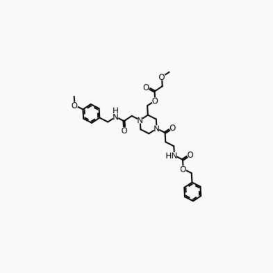 COCC(=O)OCC1CN(C(=O)CCNC(=O)OCc2ccccc2)CCN1CC(=O)NCc1ccc(OC)cc1